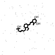 C=C1C(=CC=C2CCC[C@@]3(C)C2CC[C@@H]3[C@H](C)C=C[C@H](C)C(C)(C)O)C[C@@H](O)C[C@@H]1O